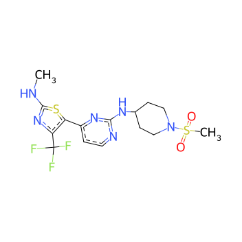 CNc1nc(C(F)(F)F)c(-c2ccnc(NC3CCN(S(C)(=O)=O)CC3)n2)s1